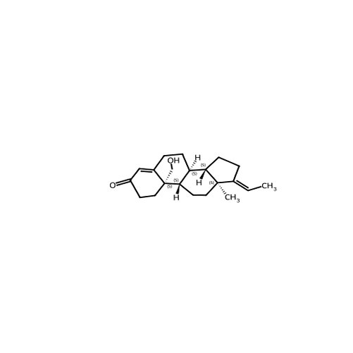 CC=C1CC[C@H]2[C@@H]3CCC4=CC(=O)CC[C@]4(CO)[C@H]3CC[C@]12C